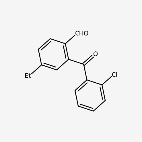 CCc1ccc([C]=O)c(C(=O)c2ccccc2Cl)c1